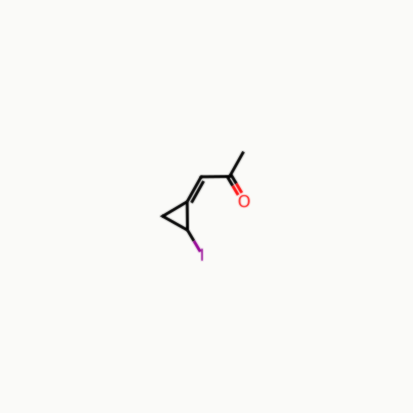 CC(=O)C=C1CC1I